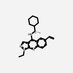 C=Cc1ccc2nc3c(cnn3CC)c(N[C@@H](C)C3CCCCC3)c2c1